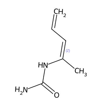 C=C/C=C(/C)NC(N)=O